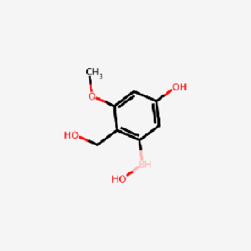 COc1cc(O)cc(BO)c1CO